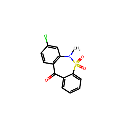 CN1c2cc(Cl)ccc2C(=O)c2ccccc2S1(=O)=O